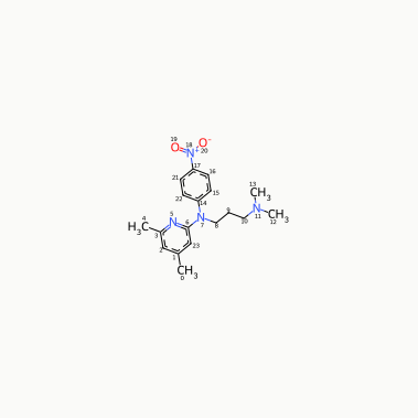 Cc1cc(C)nc(N(CCCN(C)C)c2ccc([N+](=O)[O-])cc2)c1